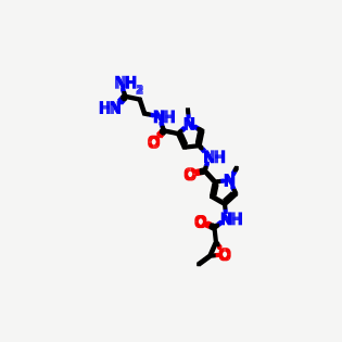 CC1OC1C(=O)Nc1cc(C(=O)Nc2cc(C(=O)NCCC(=N)N)n(C)c2)n(C)c1